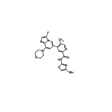 Cc1cnc(C(=O)Nc2nc(C(C)(C)C)co2)cc1-c1cc(N2CCOCC2)c2ncc(F)n2c1